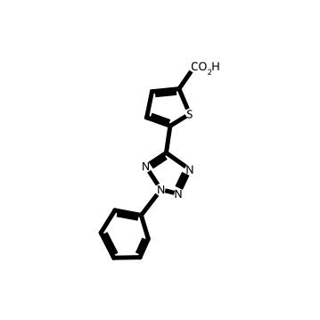 O=C(O)c1ccc(-c2nnn(-c3ccccc3)n2)s1